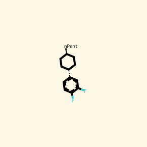 CCCCC[C@H]1CC[C@H](c2ccc(F)c(F)c2)CC1